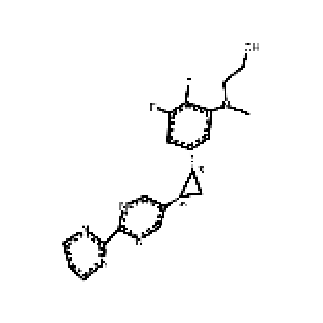 CN(CCO)c1cc([C@@H]2C[C@H]2c2cnc(-c3ncccn3)nc2)cc(F)c1F